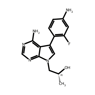 C[C@@H](O)Cn1cc(-c2ccc(N)cc2F)c2c(N)ncnc21